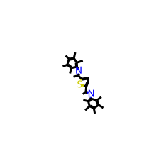 C/C(=N\c1c(C)c(C)c(C)c(C)c1C)c1ccc(/C(C)=N/c2c(C)c(C)c(C)c(C)c2C)s1